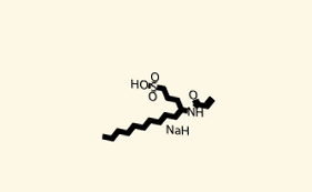 C=CC(=O)NC(CCCCCCCCCC)CCCS(=O)(=O)O.[NaH]